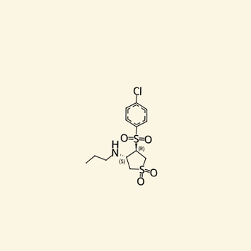 CCCN[C@H]1CS(=O)(=O)C[C@@H]1S(=O)(=O)c1ccc(Cl)cc1